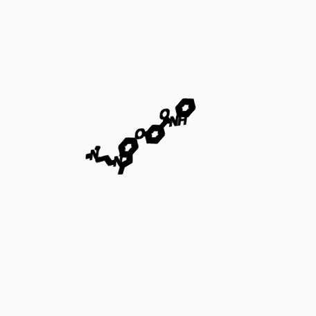 Cc1cc2cc(Oc3cccc(C(=O)Nc4ccccc4)c3)ccc2n1CCCN(C)C